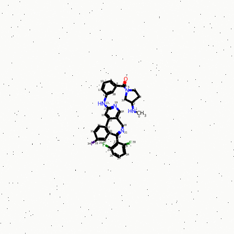 CNC1CCN(C(=O)c2cccc(Nc3cc4c(cn3)CN=C(c3c(F)cccc3F)c3cc(I)ccc3-4)c2)C1